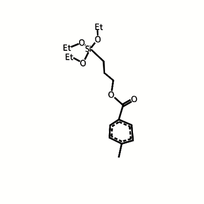 CCO[Si](CCCOC(=O)c1ccc(C)cc1)(OCC)OCC